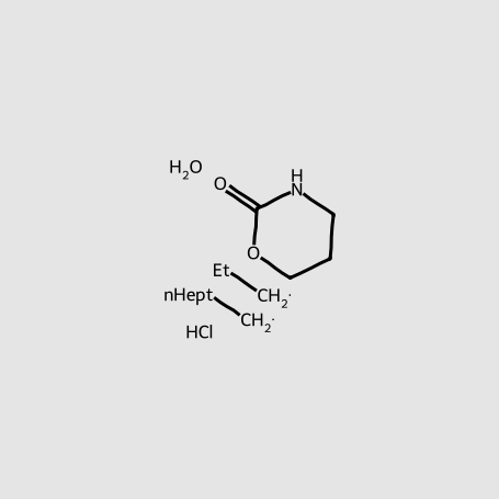 Cl.O.O=C1NCCCO1.[CH2]CC.[CH2]CCCCCCC